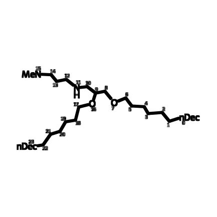 CCCCCCCCCCCCCCCCOCC(CNCCCNC)OCCCCCCCCCCCCCCCC